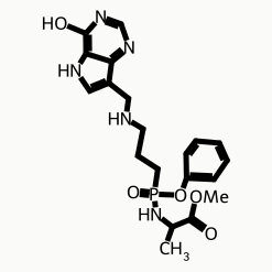 COC(=O)C(C)NP(=O)(CCCNCc1c[nH]c2c(O)ncnc12)Oc1ccccc1